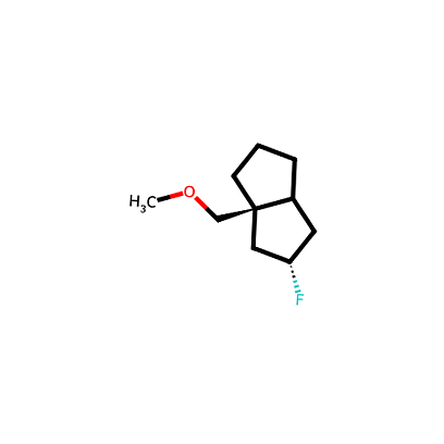 COC[C@@]12CCCC1C[C@H](F)C2